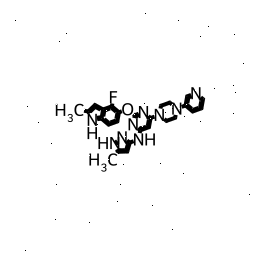 Cc1cc(Nc2cc(N3CCN(c4cccnc4)CC3)nc(Oc3ccc4[nH]c(C)cc4c3F)n2)n[nH]1